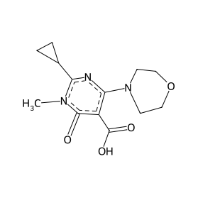 Cn1c(C2CC2)nc(N2CCOCC2)c(C(=O)O)c1=O